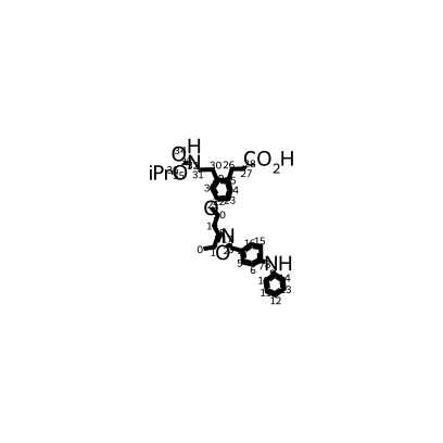 Cc1oc(-c2ccc(Nc3ccccc3)cc2)nc1CCOc1ccc(CCC(=O)O)c(CCNC(=O)OC(C)C)c1